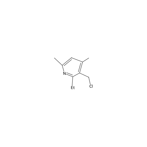 CCc1nc(C)cc(C)c1CCl